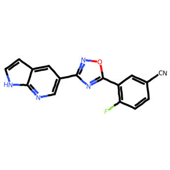 N#Cc1ccc(F)c(-c2nc(-c3cnc4[nH]ccc4c3)no2)c1